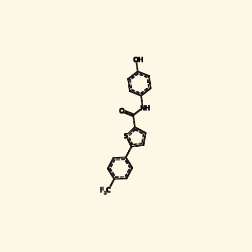 O=C(Nc1ccc(O)cc1)c1ccc(-c2ccc(C(F)(F)F)cc2)s1